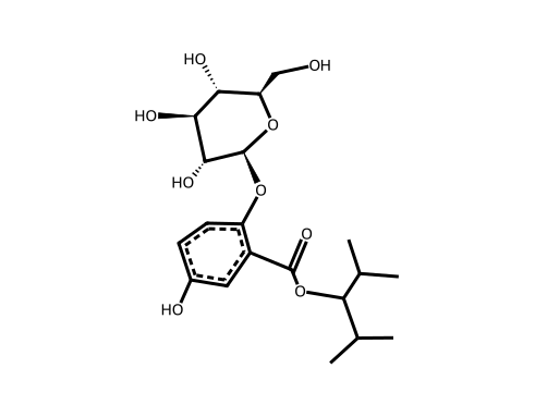 CC(C)C(OC(=O)c1cc(O)ccc1O[C@@H]1O[C@H](CO)[C@@H](O)[C@H](O)[C@H]1O)C(C)C